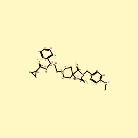 COc1ccc(CN2C(=O)NC3(CCN(CC[C@H](NC(=O)C4CC4)c4ccccc4)CC3)C2=O)cc1